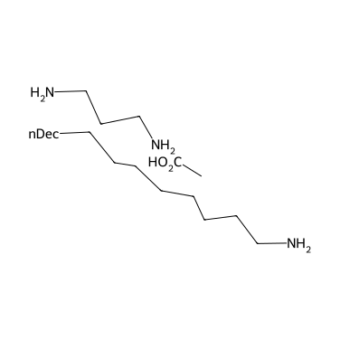 CC(=O)O.CCCCCCCCCCCCCCCCCCN.NCCCN